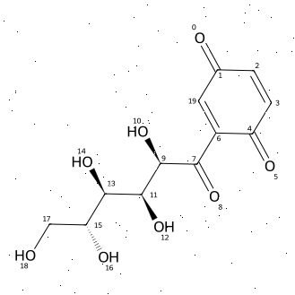 O=C1C=CC(=O)C(C(=O)[C@H](O)[C@@H](O)[C@H](O)[C@H](O)CO)=C1